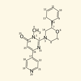 Cn1c(N2CCO[C@H](C3C=CC=CC3)C2)nc(-c2ccncc2)cc1=O